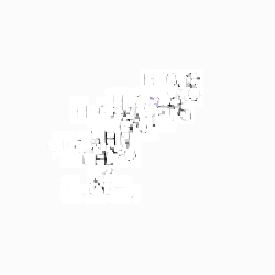 C=C(CC(NC(=O)CNC(=O)[C@H](CCCCN(C)C)NC(=O)[C@@H](N)C(C)C)OCOCC)/N=C1\C(=C)Cn2c1cc1c(c2=O)COC(=O)[C@]1(O)CC